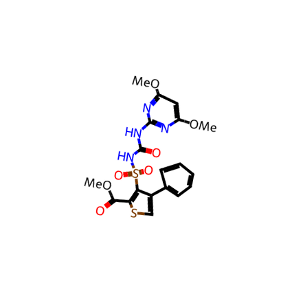 COC(=O)c1scc(-c2ccccc2)c1S(=O)(=O)NC(=O)Nc1nc(OC)cc(OC)n1